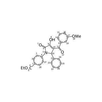 CCOC(=O)c1ccc(N2C(=O)C(O)=C(C(=O)c3cccc(OC)c3)C2c2ccccc2)cc1